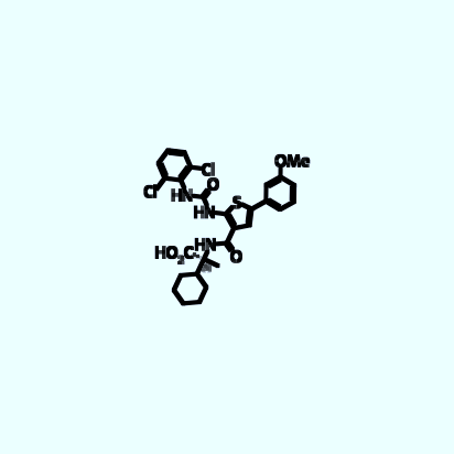 COc1cccc(-c2cc(C(=O)N[C@](C)(C(=O)O)C3CCCCC3)c(NC(=O)Nc3c(Cl)cccc3Cl)s2)c1